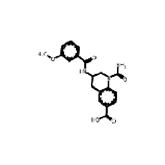 COc1cccc(C(=O)NC2Cc3cc(C(=O)O)ccc3N(C(N)=O)C2)c1